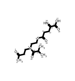 CC(=O)CCN(CCSC(=O)CCC(=N)C(=O)O)C(=O)C(C)C